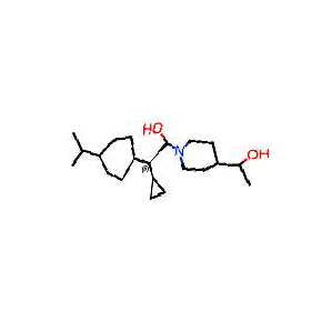 CC(C)C1CCC([C@H](C2CC2)C(O)N2CCC(C(C)O)CC2)CC1